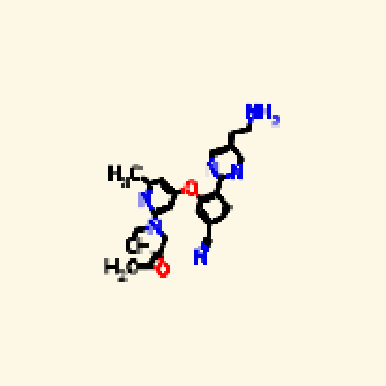 C=C1OC1CN(CC)c1cc(Oc2cc(C#N)ccc2-c2ncc(CCN)cn2)cc(C)n1